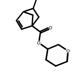 CC1CC2(C(=O)OC3CCCOC3)C=CC1C2